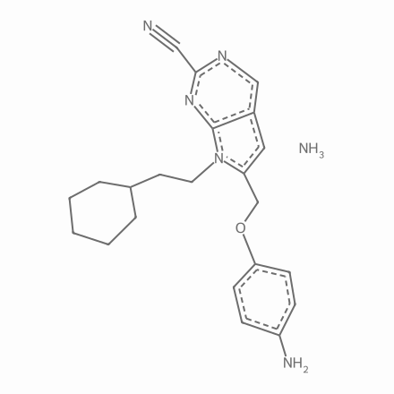 N.N#Cc1ncc2cc(COc3ccc(N)cc3)n(CCC3CCCCC3)c2n1